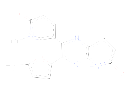 Cc1ccc(-c2nc3[nH]c(=O)ccc3nc2-c2ccc(=O)n(C(C)C)c2)o1